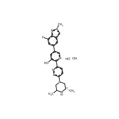 CC1CN(c2ccc(-c3ncc(-c4cc(F)c5nn(C)cc5c4)cc3O)nn2)C[C@H](C)N1.Cl.Cl